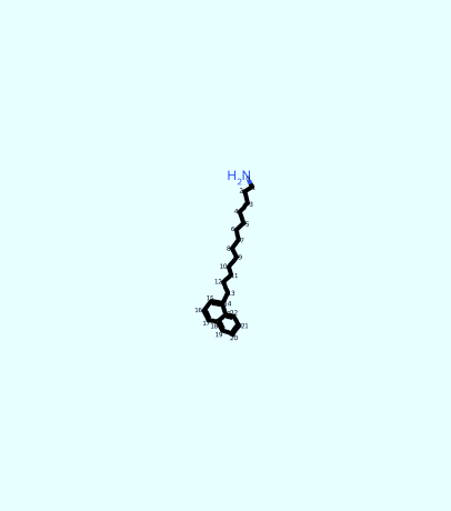 NCCCCCCCCCCCCCc1cccc2ccccc12